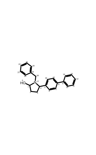 OC1CCC(c2ccc(-c3ccccc3)cc2)N1Cc1ccccc1